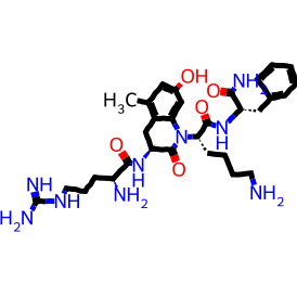 Cc1cc(O)cc2c1C[C@H](NC(=O)[C@H](N)CCCNC(=N)N)C(=O)N2[C@@H](CCCCN)C(=O)N[C@@H](Cc1ccccc1)C(N)=O